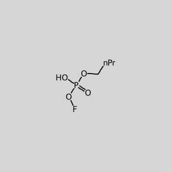 CCCCOP(=O)(O)OF